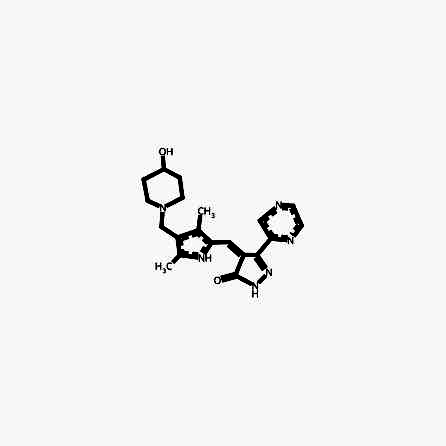 Cc1[nH]c(C=C2C(=O)NN=C2c2cnccn2)c(C)c1CN1CCC(O)CC1